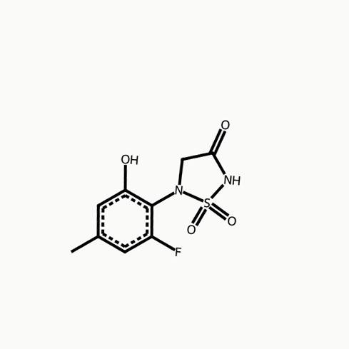 Cc1cc(O)c(N2CC(=O)NS2(=O)=O)c(F)c1